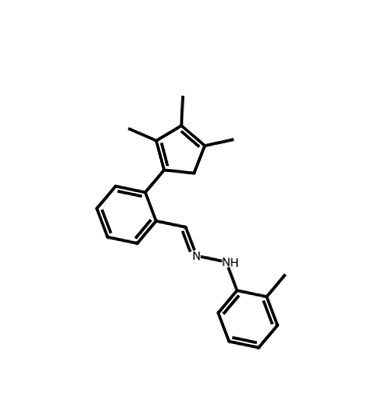 CC1=C(C)C(C)=C(c2ccccc2C=NNc2ccccc2C)C1